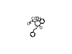 O=C=C(C(=O)O)C1CN(CCc2ccccc2)C(=O)c2ccccc2N1